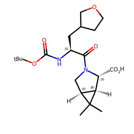 CC(C)(C)OC(=O)N[C@@H](CC1CCOC1)C(=O)N1C[C@H]2[C@@H]([C@H]1C(=O)O)C2(C)C